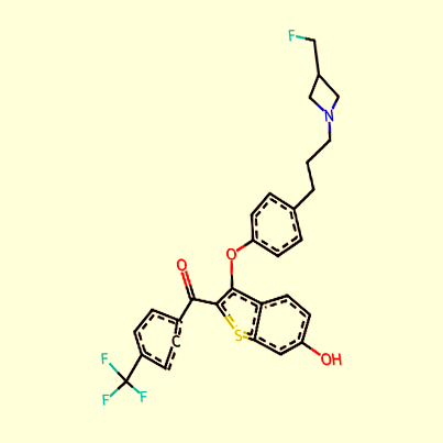 O=C(c1ccc(C(F)(F)F)cc1)c1sc2cc(O)ccc2c1Oc1ccc(CCCN2CC(CF)C2)cc1